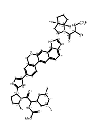 COC(=O)NC(C(=O)N1[C@@H](C)CC[C@H]1c1ncc(-c2ccc3c(c2)COc2cc4c(ccc5nc([C@@H]6C[C@@H]7CCC[C@@H]7N6C(=O)C(NC(=O)O)C(C)C)[nH]c54)cc2-3)[nH]1)C1C[C@@H](C)O[C@H](C)C1